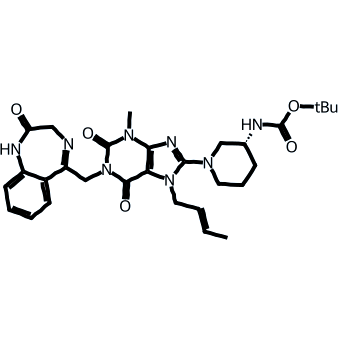 C/C=C/Cn1c(N2CCC[C@@H](NC(=O)OC(C)(C)C)C2)nc2c1c(=O)n(CC1=NCC(=O)Nc3ccccc31)c(=O)n2C